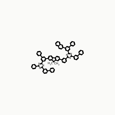 CC1(C)c2cc(-c3cccc(-c4nc(-c5cccc(-c6ccccc6)c5)nc(-c5cc(-c6ccccc6)cc(-c6ccc7ccccc7c6)c5)n4)c3)ccc2-c2ccc(-c3cc(-c4ccccc4)cc(-c4nc(-c5ccccc5)nc(-c5cccc(-c6ccccc6)c5)n4)c3)cc21